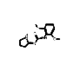 COc1cccc(OC)c1NC(=O)N=C1CCCN1C